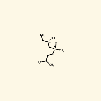 CC(C)COP(C)(=O)C[C@@H](O)CN